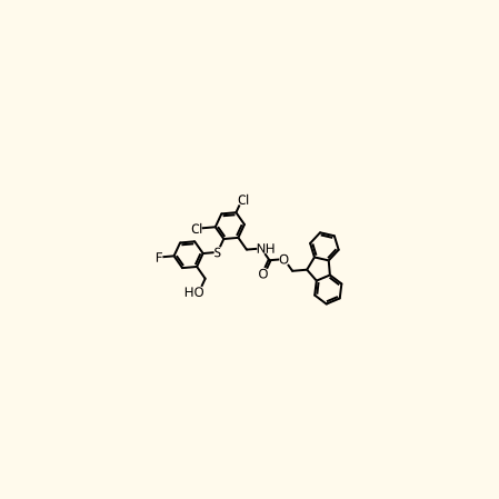 O=C(NCc1cc(Cl)cc(Cl)c1Sc1ccc(F)cc1CO)OCC1c2ccccc2-c2ccccc21